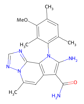 COc1c(C)cc(C)c(-n2c(N)c(C(N)=O)c3cc(C)n4ncnc4c32)c1C